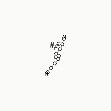 CC1(C)c2cc(-c3ccncc3)ccc2-c2ccc(-c3ccc4ccc5c(-c6ccc(-c7ccc(-c8ccncc8)cc7)cc6)ccc6ccc3c4c65)cc21